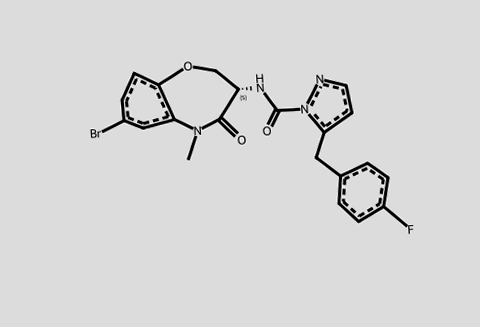 CN1C(=O)[C@@H](NC(=O)n2nccc2Cc2ccc(F)cc2)COc2ccc(Br)cc21